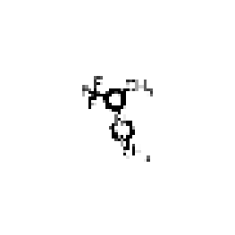 Cc1cc(N2CCN(C)CC2)cc(C(F)(F)F)c1